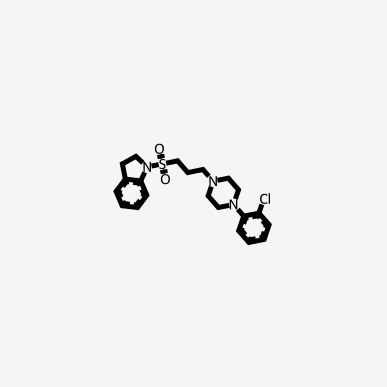 O=S(=O)(CCCN1CCN(c2ccccc2Cl)CC1)N1CCc2ccccc21